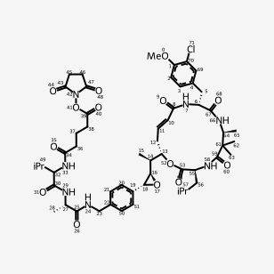 COc1ccc(C[C@H]2NC(=O)/C=C/C[C@@H]([C@H](C)[C@H]3O[C@@H]3c3ccc(CNC(=O)[C@H](C)NC(=O)C(NC(=O)CCCC(=O)ON4C(=O)CCC4=O)C(C)C)cc3)OC(=O)[C@H](CC(C)C)NC(=O)C(C)(C)[C@H](C)NC2=O)cc1Cl